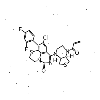 C=CC(=O)N1CCN(c2nc(=O)n3c4c(c(-c5ccc(F)cc5F)c(Cl)cc24)SCC3)[C@@H]2CSC[C@@H]21